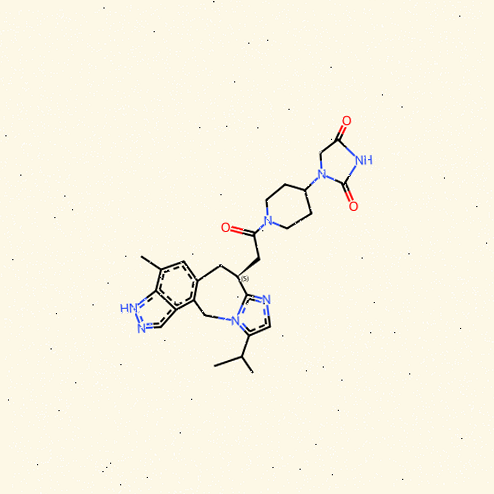 Cc1cc2c(c3cn[nH]c13)Cn1c(C(C)C)cnc1[C@H](CC(=O)N1CCC(N3CC(=O)NC3=O)CC1)C2